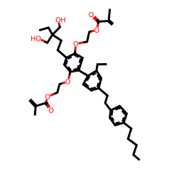 C=C(C)C(=O)OCCOc1cc(-c2ccc(CCc3ccc(CCCCC)cc3)cc2CC)c(OCCOC(=O)C(=C)C)cc1CCC(CC)(CO)CO